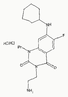 CC(C)n1c(=O)n(CCN)c(=O)c2cc(F)c(NC3CCCCC3)cc21.Cl.Cl